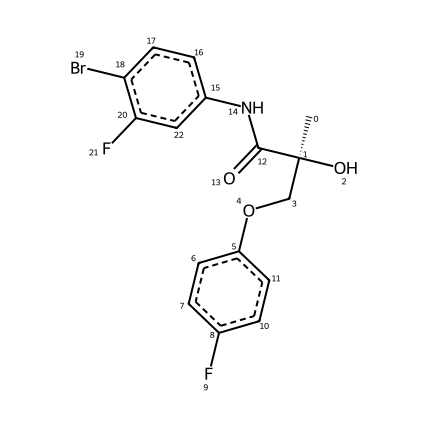 C[C@](O)(COc1ccc(F)cc1)C(=O)Nc1ccc(Br)c(F)c1